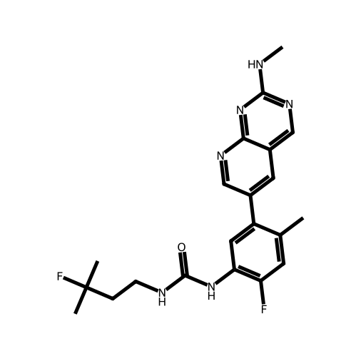 CNc1ncc2cc(-c3cc(NC(=O)NCCC(C)(C)F)c(F)cc3C)cnc2n1